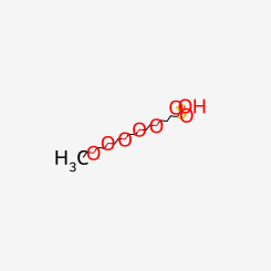 CCOCCOCCOCCOCCOCCCCS(=O)(=O)O